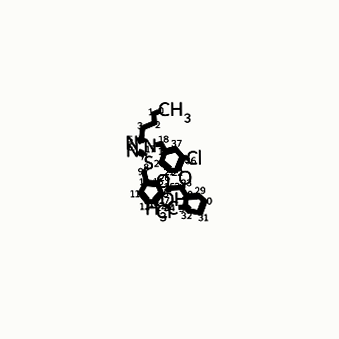 CCCCc1nnc(SCc2ccc(Cl)cc2)n1Cc1ccc(OC(C(=O)O)c2ccccc2C)c(Cl)c1